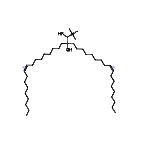 CCCCCCCC/C=C\CCCCCCCCC(O)(CCCCCCCC/C=C\CCCCCCCC)C([PH-])[N+](C)(C)C